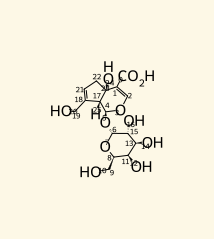 O=C(O)C1=CO[C@@H](O[C@H]2O[C@H](CO)[C@H](O)[C@H](O)[C@H]2O)[C@@H]2C(CO)=CC[C@]12O